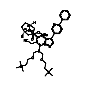 CC(C)(C)OC(=O)N1[C@@H]2CC[C@H]1C[C@@H](c1nc3c(-c4ccc(-c5ccccc5)nc4)cnn3c(N(COCC[Si](C)(C)C)COCC[Si](C)(C)C)c1CC#N)C2